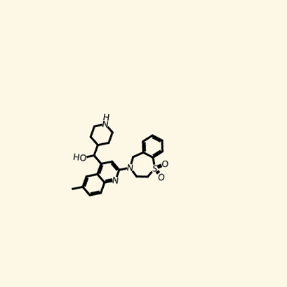 Cc1ccc2nc(N3CCS(=O)(=O)c4ccccc4C3)cc(C(O)C3CCNCC3)c2c1